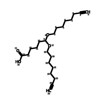 C#CCCCCCCOC(CCCCC(=O)O)OCCCCCCC#C